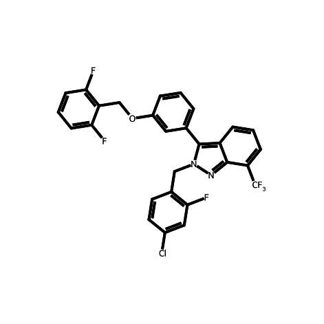 Fc1cc(Cl)ccc1Cn1nc2c(C(F)(F)F)cccc2c1-c1cccc(OCc2c(F)cccc2F)c1